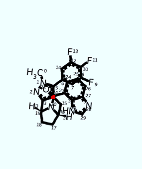 Cn1nc2c(c1-c1cc(F)c(F)c(F)c1)C[C@@H]1CC[C@H]2N1C(=O)c1cccc2nc[nH]c12